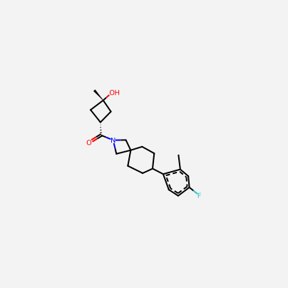 Cc1cc(F)ccc1C1CCC2(CC1)CN(C(=O)[C@H]1C[C@@](C)(O)C1)C2